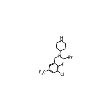 CC(C)CN(Cc1cc(C(F)(F)F)cc(Cl)c1F)C1CCNCC1